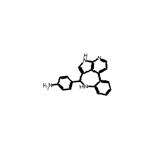 Nc1ccc(C2Nc3ccccc3-c3ccnc4[nH]cc2c34)cc1